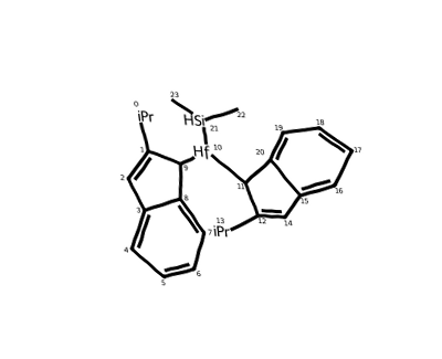 CC(C)C1=Cc2ccccc2[CH]1[Hf]([CH]1C(C(C)C)=Cc2ccccc21)[SiH](C)C